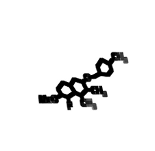 COC1CCC2CC(OCC3CCC(C)CC3)C(C)C(C)C2C1F